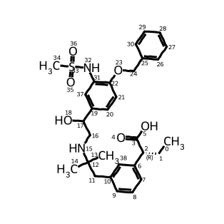 CC[C@@H](C(=O)O)c1cccc(CC(C)(C)NCC(O)c2ccc(OCc3ccccc3)c(NS(C)(=O)=O)c2)c1